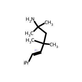 CC(C)/C=C/C(C)(C)CC(C)(C)N